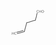 [CH]=CCC[C]=O